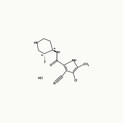 Cc1[nH]c(C(=O)N[C@@H]2CCNC[C@H]2F)c(C#N)c1Cl.Cl